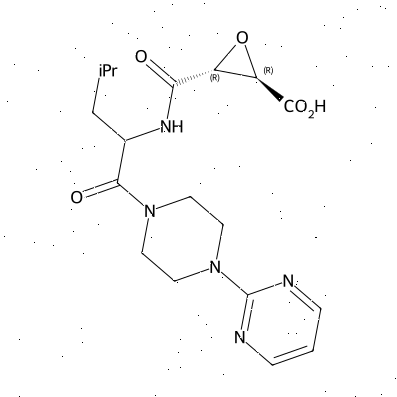 CC(C)CC(NC(=O)[C@@H]1O[C@H]1C(=O)O)C(=O)N1CCN(c2ncccn2)CC1